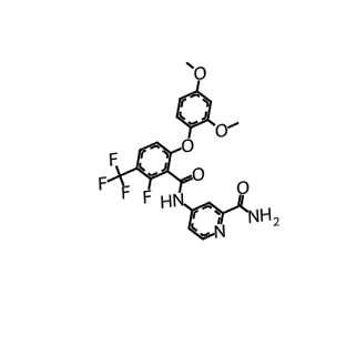 COc1ccc(Oc2ccc(C(F)(F)F)c(F)c2C(=O)Nc2ccnc(C(N)=O)c2)c(OC)c1